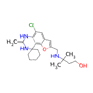 C=C1Nc2c(Cl)cc3cc(CNC(C)(C)CCO)oc3c2C2(CCCCC2)N1